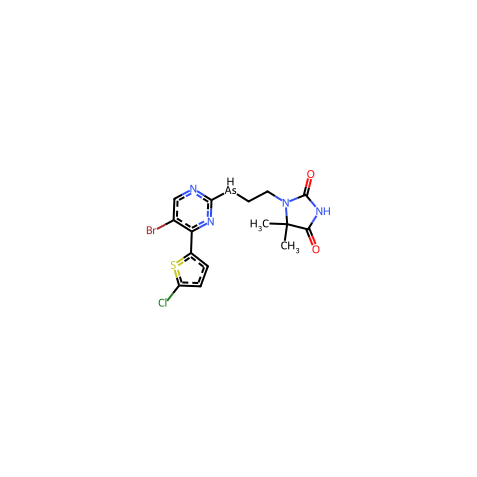 CC1(C)C(=O)NC(=O)N1CC[AsH]c1ncc(Br)c(-c2ccc(Cl)s2)n1